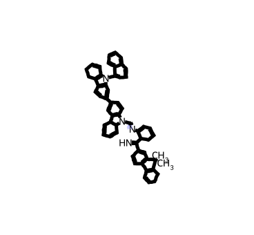 CC1(C)C2=C(C=CCC2)c2ccc(C(=N)C3CC=CC=C3/N=C/N3c4ccc(-c5ccc6c7c(n(-c8cccc9ccccc89)c6c5)C=CCC7)cc4C4C=CC=CC43)cc21